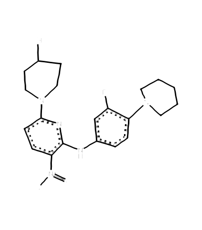 O=[N+]([O-])c1ccc(N2CCC(O)CC2)nc1Nc1ccc(N2CCCCC2)c(F)c1